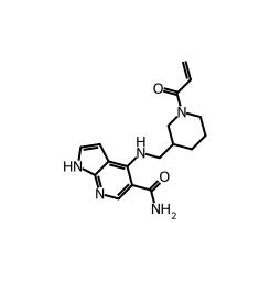 C=CC(=O)N1CCCC(CNc2c(C(N)=O)cnc3[nH]ccc23)C1